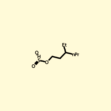 CCCC(CC)CCO[SH](=O)=O